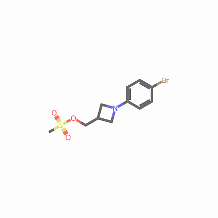 CS(=O)(=O)OCC1CN(c2ccc(Br)cc2)C1